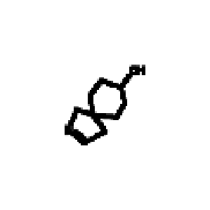 OC1CCC2(CC=NC2)CC1